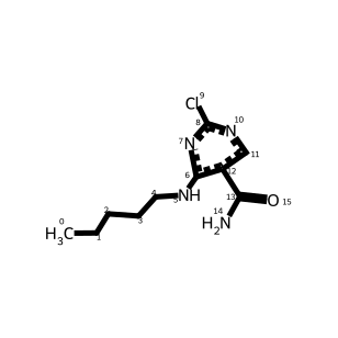 CCCCCNc1nc(Cl)ncc1C(N)=O